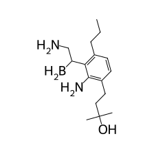 BC(CN)c1c(CCC)ccc(CCC(C)(C)O)c1N